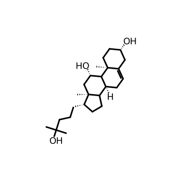 CC(C)(O)CCC[C@H]1CCC2[C@@H]3CC=C4C[C@@H](O)CC[C@]4(C)C3[C@@H](O)C[C@@]21C